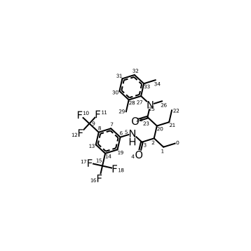 CCC(C(=O)Nc1cc(C(F)(F)F)cc(C(F)(F)F)c1)C(CC)C(=O)N(C)c1c(C)cccc1C